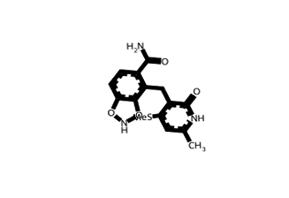 CSc1cc(C)[nH]c(=O)c1Cc1c(C(N)=O)ccc2c1ONO2